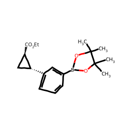 CCOC(=O)[C@@H]1C[C@H]1c1cccc(B2OC(C)(C)C(C)(C)O2)c1